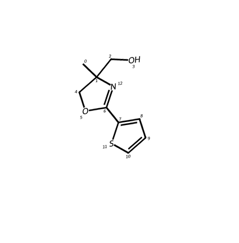 CC1(CO)COC(c2cccs2)=N1